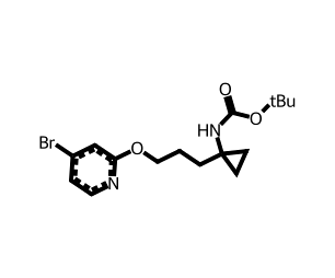 CC(C)(C)OC(=O)NC1(CCCOc2cc(Br)ccn2)CC1